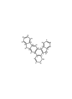 C1=Cc2c(c3oc4ccccc4c3c3cc4c(cc23)Cc2ccccc2-4)CC1